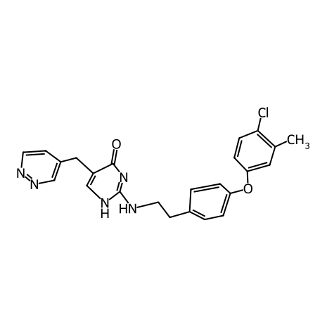 Cc1cc(Oc2ccc(CCNc3nc(=O)c(Cc4ccnnc4)c[nH]3)cc2)ccc1Cl